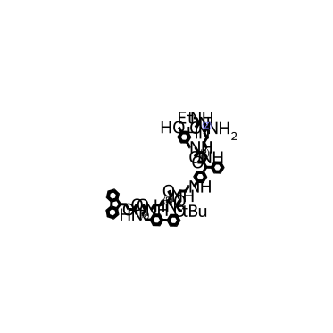 CCNC(=O)/N=C(/N)NCCC[C@@H](NC(=O)C(c1ccccc1)c1ccc(NCCCNC(=O)[C@@H](CCCNC(=O)[C@@H](Cc2ccc(-c3ccccc3)cc2)NC(=O)OCC2c3ccccc3-c3ccccc32)NC(=O)OC(C)(C)C)cc1)C(=O)NCc1ccc(O)cc1